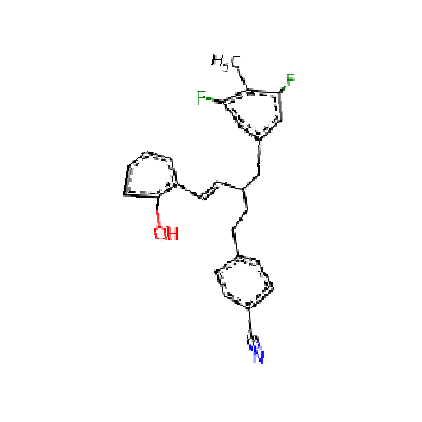 Cc1c(F)cc(CC(/C=C/c2ccccc2O)CCc2ccc(C#N)cc2)cc1F